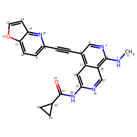 CNc1ncc(C#Cc2ccc3occc3n2)c2cc(NC(=O)C3CC3)ncc12